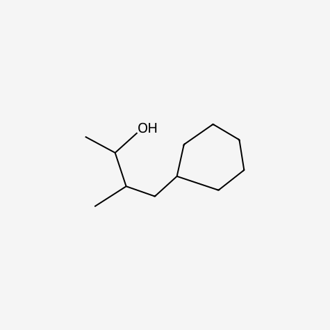 CC(O)C(C)CC1CCCCC1